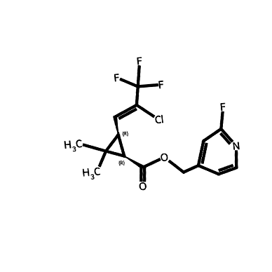 CC1(C)[C@H](C(=O)OCc2ccnc(F)c2)[C@@H]1C=C(Cl)C(F)(F)F